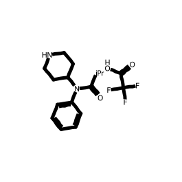 CC(C)C(=O)N(c1ccccc1)C1CCNCC1.O=C(O)C(F)(F)F